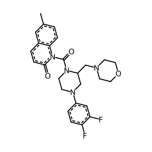 Cc1ccc2c(ccc(=O)n2C(=O)N2CCN(c3ccc(F)c(F)c3)CC2CN2CCOCC2)c1